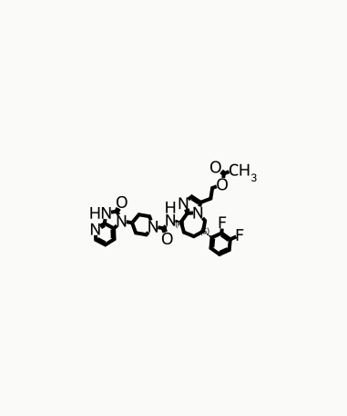 CC(=O)OCCc1cnc2n1C[C@H](c1cccc(F)c1F)CC[C@H]2NC(=O)N1CCC(n2c(=O)[nH]c3ncccc32)CC1